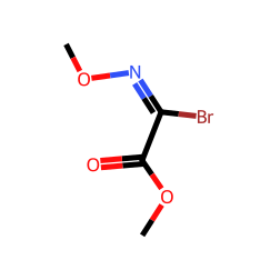 CO/N=C(/Br)C(=O)OC